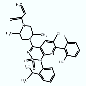 C=CC(=O)N1CC(C)N(C2=NS(=O)(=O)N(c3ccccc3C(C)C)c3nc(-c4c(O)cccc4F)c(Cl)cc32)CC1C